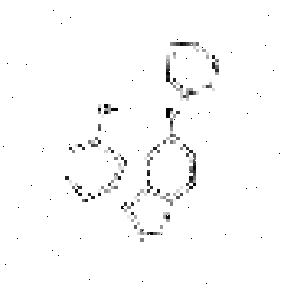 Brc1ccc2cscc2c1.Oc1ccccc1.c1ccncc1